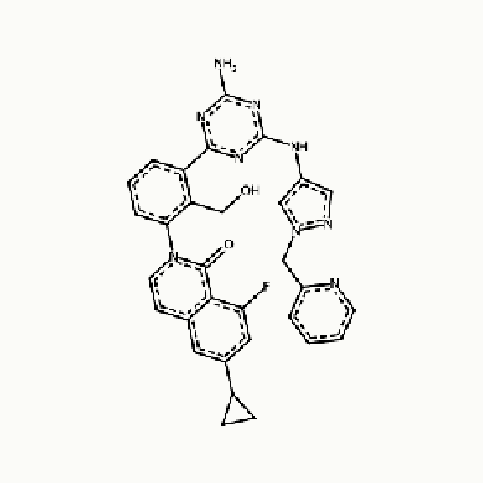 Nc1nc(Nc2cnn(Cc3ccccn3)c2)nc(-c2cccc(-n3ccc4cc(C5CC5)cc(F)c4c3=O)c2CO)n1